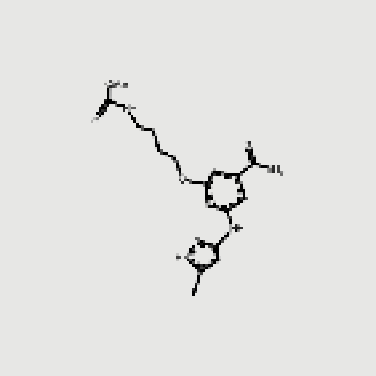 COC(=O)NCCCCOc1cc(C(N)=O)cc(Nc2cc(C)[nH]n2)n1